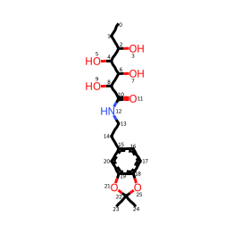 CCC(O)C(O)C(O)C(O)C(=O)NCCc1ccc2c(c1)OC(C)(C)O2